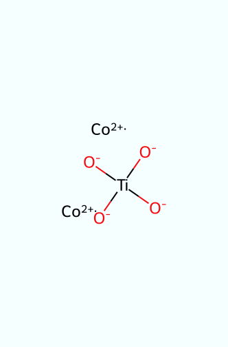 [Co+2].[Co+2].[O-][Ti]([O-])([O-])[O-]